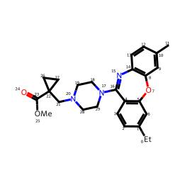 CCc1ccc2c(c1)Oc1cc(C)ccc1N=C2N1CCN(CC2(C(=O)OC)CC2)CC1